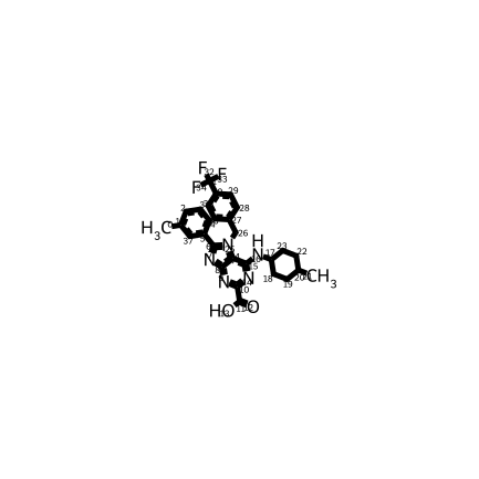 Cc1cccc(-c2nc3nc(C(=O)O)nc(NC4CCC(C)CC4)c3n2Cc2ccc(C(F)(F)F)cc2)c1